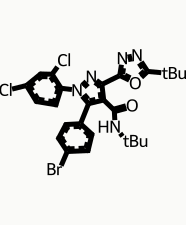 CC(C)(C)NC(=O)c1c(-c2nnc(C(C)(C)C)o2)nn(-c2ccc(Cl)cc2Cl)c1-c1ccc(Br)cc1